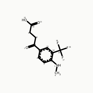 CNc1ccc(C(=O)CCC(=O)O)cc1C(F)(F)F